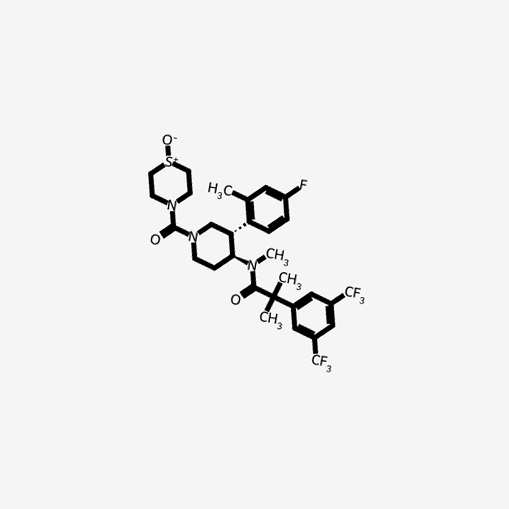 Cc1cc(F)ccc1[C@H]1CN(C(=O)N2CC[S+]([O-])CC2)CC[C@@H]1N(C)C(=O)C(C)(C)c1cc(C(F)(F)F)cc(C(F)(F)F)c1